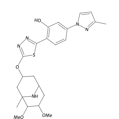 COC1CC2CC(Oc3nnc(-c4ccc(-n5ccc(C)n5)cc4O)s3)CC(C)(N2)C1OC